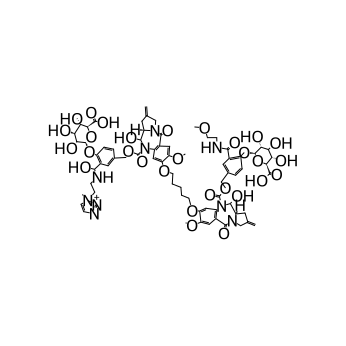 C=C1C[C@H]2C(O)N(C(=O)OCc3ccc(O[C@@H]4O[C@H](C(=O)O)[C@@H](O)[C@H](O)[C@H]4O)c(C(=O)NCCOC)c3)c3cc(OCCCCCOc4cc5c(cc4OC)C(=O)N4CC(=C)C[C@H]4C(O)N5C(=O)OCc4ccc(O[C@@H]5O[C@H](C(=O)O)[C@@H](O)[C@H](O)[C@H]5O)c(C(O)NCC[N+]5(C)C=CN=N5)c4)c(OC)cc3C(=O)N2C1